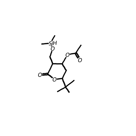 CC(=O)OC1CC(C(C)(C)C)OC(=O)C1CO[SiH](C)C